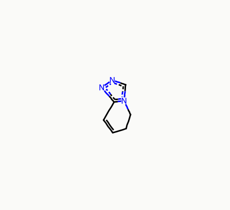 C1=Cc2nncn2CC1